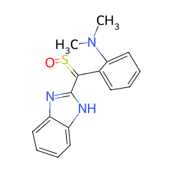 CN(C)c1ccccc1C(=S=O)c1nc2ccccc2[nH]1